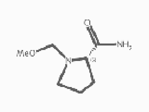 COCN1CCC[C@H]1C(N)=O